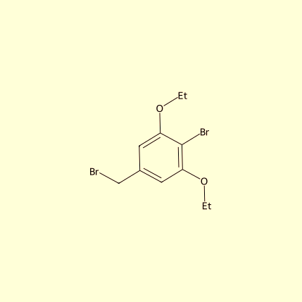 CCOc1cc(CBr)cc(OCC)c1Br